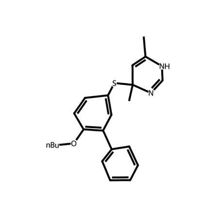 CCCCOc1ccc(SC2(C)C=C(C)NC=N2)cc1-c1ccccc1